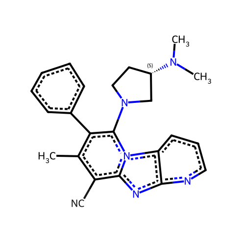 Cc1c(-c2ccccc2)c(N2CC[C@H](N(C)C)C2)n2c(nc3ncccc32)c1C#N